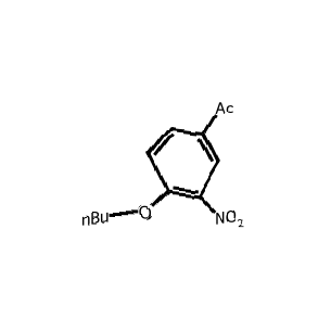 CCCCOc1ccc(C(C)=O)cc1[N+](=O)[O-]